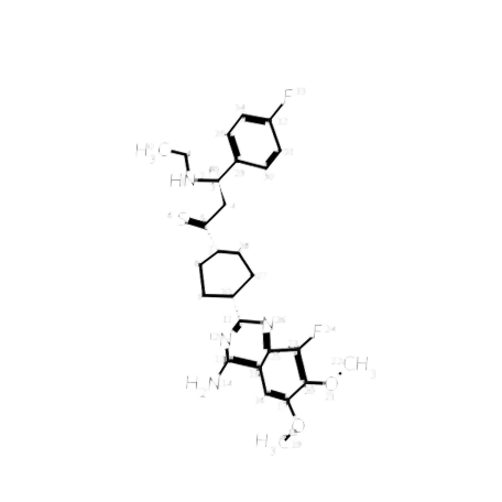 CCN[C@H](CC(=S)[C@H]1CC[C@@H](c2nc(N)c3cc(OC)c(OC)c(F)c3n2)CC1)c1ccc(F)cc1